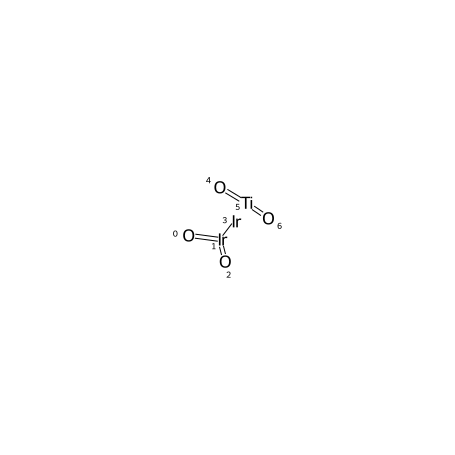 [O]=[Ir](=[O])[Ir].[O]=[Ti]=[O]